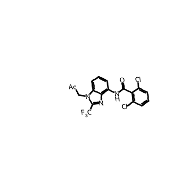 CC(=O)Cn1c(C(F)(F)F)nc2c(NC(=O)c3c(Cl)cccc3Cl)cccc21